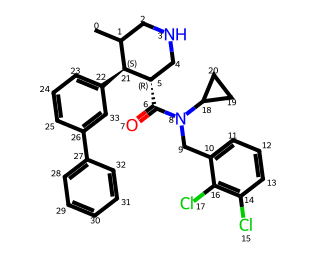 CC1CNC[C@H](C(=O)N(Cc2cccc(Cl)c2Cl)C2CC2)[C@H]1c1cccc(-c2ccccc2)c1